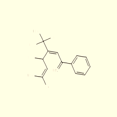 CC/C(C)=C/C(C)/C(=C\C(=N)c1ccccc1)C(C)(C)CC